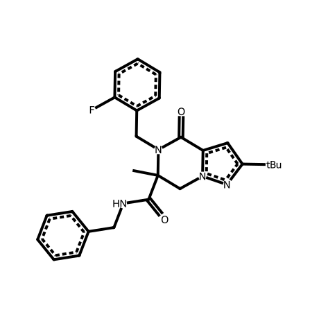 CC(C)(C)c1cc2n(n1)CC(C)(C(=O)NCc1ccccc1)N(Cc1ccccc1F)C2=O